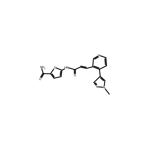 Cn1cc(-c2ccncc2C=CC(=O)Nc2ccc(C(N)=O)s2)cn1